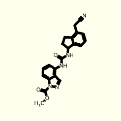 COC(=O)n1ncc2c(NC(=O)NC3CCc4c(CC#N)cccc43)cccc21